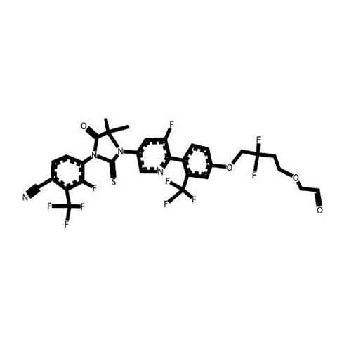 CC1(C)C(=O)N(c2ccc(C#N)c(C(F)(F)F)c2F)C(=S)N1c1cnc(-c2ccc(OCC(F)(F)CCOCC=O)cc2C(F)(F)F)c(F)c1